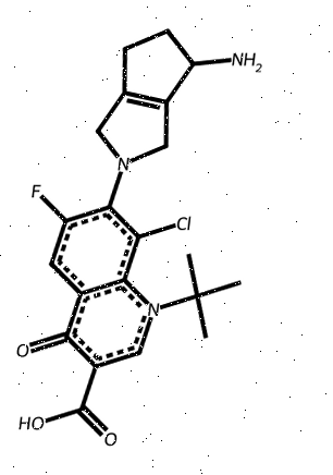 CC(C)(C)n1cc(C(=O)O)c(=O)c2cc(F)c(N3CC4=C(C3)C(N)CC4)c(Cl)c21